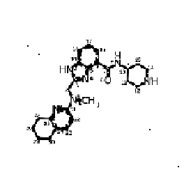 CN(Cc1nc2c(C(=O)NC3CCNCC3)cccc2[nH]1)c1ccc2c(n1)CCCC2